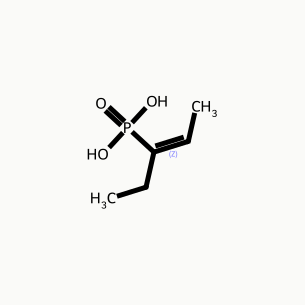 C/C=C(/CC)P(=O)(O)O